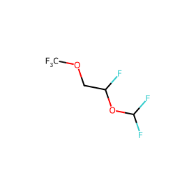 FC(F)OC(F)COC(F)(F)F